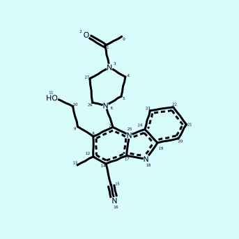 CC(=O)N1CCN(c2c(CCO)c(C)c(C#N)c3nc4ccccc4n23)CC1